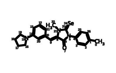 Cc1ccc(N2C(=O)C(=Cc3cccc(N4CCCC4)c3)N(C)C2=[Se])cc1